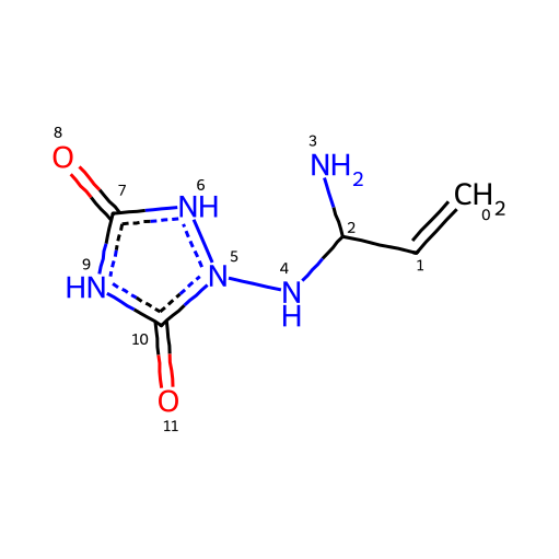 C=CC(N)Nn1[nH]c(=O)[nH]c1=O